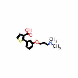 CN(C)CCCOc1cccc(-c2sccc2C(=O)O)c1